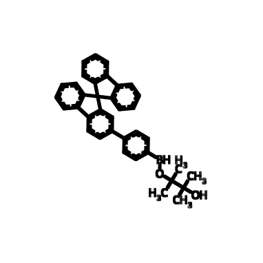 CC(C)(O)C(C)(C)OBc1ccc(-c2ccc3c(c2)C2(c4ccccc4-c4ccccc42)c2ccccc2-3)cc1